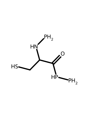 O=C(PP)C(CS)NP